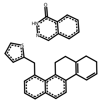 C1=CC2=C(CC1)CCc1c2ccc2cccc(Cc3cccs3)c12.O=c1[nH]ncc2ccccc12